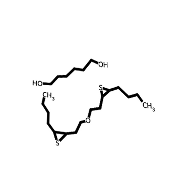 CCCCC1SC1CCOCCC1SC1CCCC.OCCCCCCO